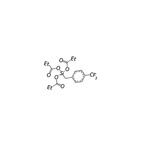 CCC(=O)O[Si](Cc1ccc(C(F)(F)F)cc1)(OC(=O)CC)OC(=O)CC